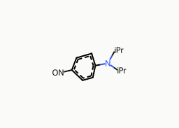 CC(C)N(c1ccc(N=O)cc1)C(C)C